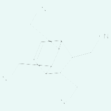 N#CCC1C2C=CC(C1CC#N)C(CC#N)C2CC#N